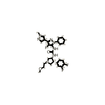 COCCN1C[C@@H](NC(=O)Nc2c(F)c(-c3cnn(C)c3)nn2-c2ccccc2)[C@H](c2ccc(F)c(F)c2)C1